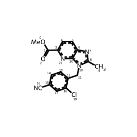 COC(=O)c1ccc2nc(C)n(Cc3ccc(C#N)cc3Cl)c2n1